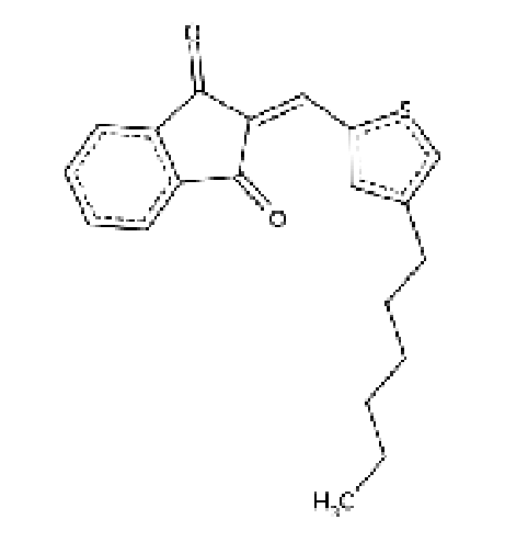 CCCCCCc1csc(C=C2C(=O)c3ccccc3C2=O)c1